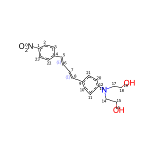 O=[N+]([O-])c1ccc(/C=C/C=C/c2ccc(N(CCO)CCO)cc2)cc1